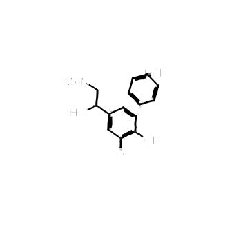 CNCC(O)c1ccc(O)c(O)c1.Cl.c1ccccc1